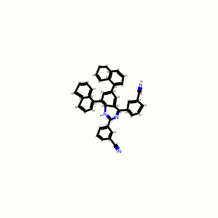 N#Cc1cccc(-c2nc(-c3cccc(C#N)c3)c3cc(-c4cccc5c4C=CCC5)cc(-c4cccc5ccccc45)c3n2)c1